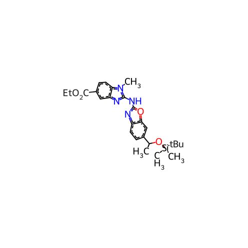 CCOC(=O)c1ccc2c(c1)nc(Nc1nc3ccc(C(C)O[Si](C)(C)C(C)(C)C)cc3o1)n2C